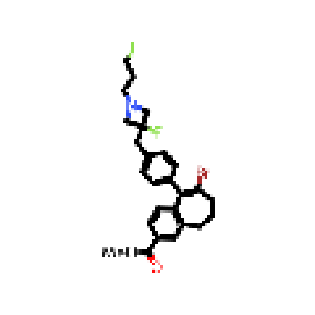 COC(=O)c1ccc2c(c1)CCCC(Br)=C2c1ccc(CC2(F)CN(CCCF)C2)cc1